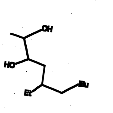 CCC(C)CC(CC)CC(O)C(C)O